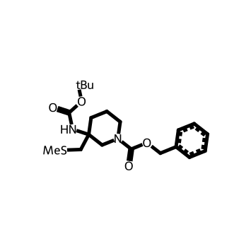 CSCC1(NC(=O)OC(C)(C)C)CCCN(C(=O)OCc2ccccc2)C1